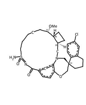 CO[C@H]1CCCCCS(N)(=O)=NC(=O)c2ccc3c(c2)N(C[C@@H]2CC[C@H]21)C[C@@]1(CCCc2cc(Cl)ccc21)CO3